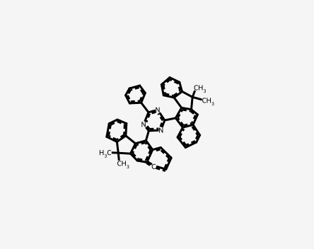 CC1(C)c2ccccc2-c2c1cc1ccccc1c2-c1nc(-c2ccccc2)nc(-c2c3c(cc4ccccc24)C(C)(C)c2ccccc2-3)n1